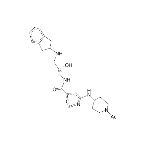 CC(=O)N1CCC(Nc2cc(C(=O)NC[C@@H](O)CNC3Cc4ccccc4C3)ccn2)CC1